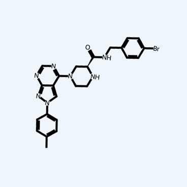 Cc1ccc(-n2cc3c(N4CCN[C@H](C(=O)NCc5ccc(Br)cc5)C4)ncnc3n2)cc1